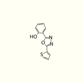 Oc1ccccc1-c1nnc(-c2cccs2)o1